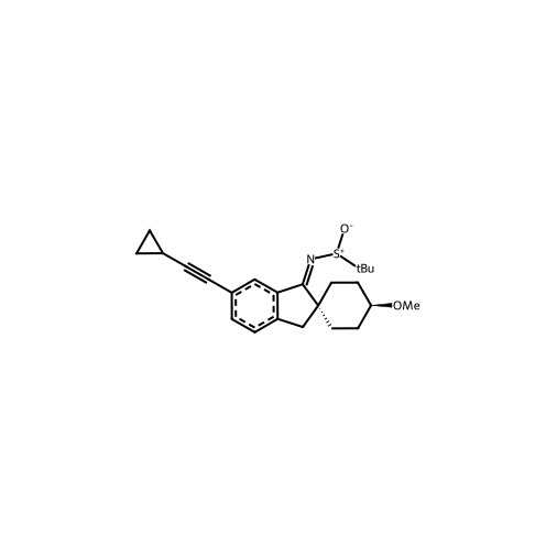 CO[C@H]1CC[C@]2(CC1)Cc1ccc(C#CC3CC3)cc1/C2=N/[S+]([O-])C(C)(C)C